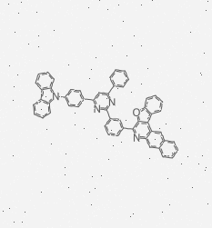 c1ccc(-c2cc(-c3ccc(-n4c5ccccc5c5ccccc54)cc3)nc(-c3cccc(-c4nc5cc6ccccc6cc5c5c4oc4ccccc45)c3)n2)cc1